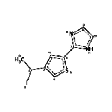 CC(I)c1csc(-c2ncc[nH]2)c1